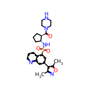 Cc1noc(C)c1-c1cc(S(=O)(=O)N[C@@H]2CCC[C@H]2C(=O)N2CCNCC2)c2cccnc2c1